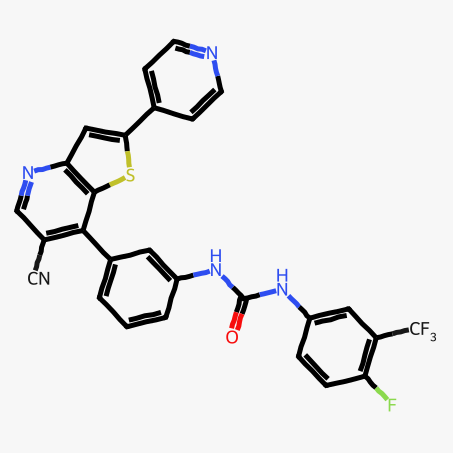 N#Cc1cnc2cc(-c3ccncc3)sc2c1-c1cccc(NC(=O)Nc2ccc(F)c(C(F)(F)F)c2)c1